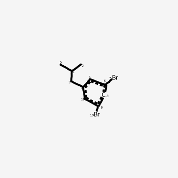 CC(C)Cc1cc(Br)cc(Br)c1